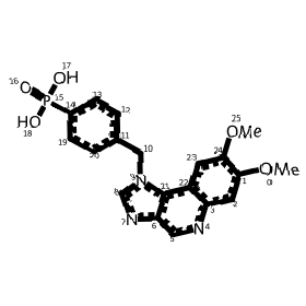 COc1cc2ncc3ncn(Cc4ccc(P(=O)(O)O)cc4)c3c2cc1OC